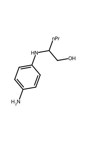 CCCC(CO)Nc1ccc(N)cc1